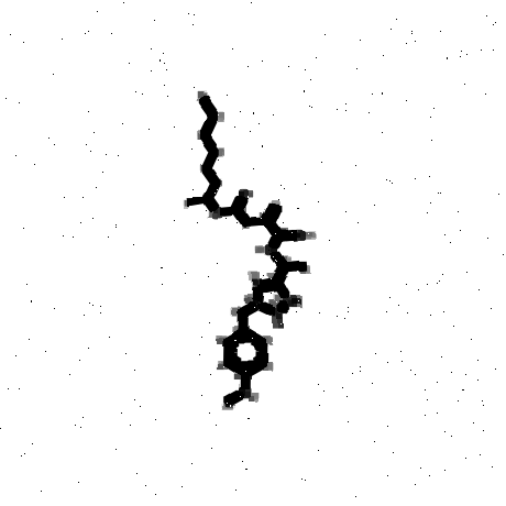 C=C(CC(=O)O[C@@H](C)CCCCCC)C(=O)OC(C)C1=NN(Cc2ccc(OC)cc2)NN1